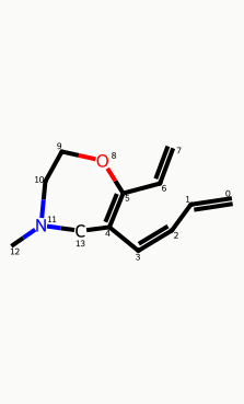 C=C/C=C\C1=C(C=C)OCCN(C)C1